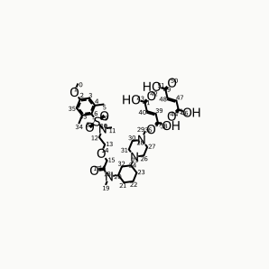 COc1cc(C)c(S(=O)(=O)N(C)CCOCC(=O)N(C)[C@@H]2CCC[C@H](N3CCN(C)CC3)C2)c(C)c1.O=C(O)C=CC(=O)O.O=C(O)C=CC(=O)O